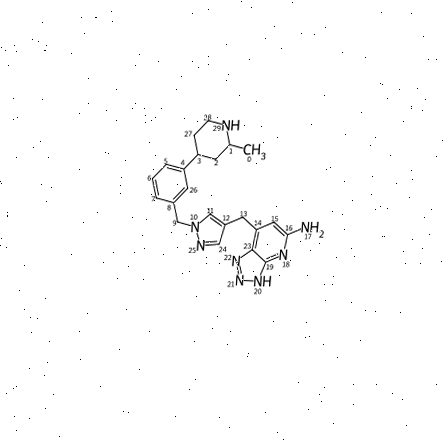 CC1CC(c2cccc(Cn3cc(Cc4cc(N)nc5[nH]nnc45)cn3)c2)CCN1